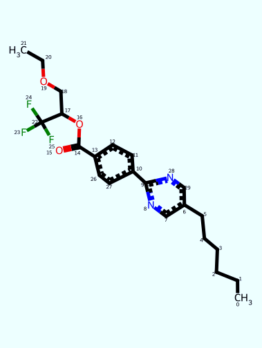 CCCCCCc1cnc(-c2ccc(C(=O)OC(COCC)C(F)(F)F)cc2)nc1